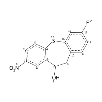 O=[N+]([O-])c1ccc2c(c1)C(O)Cc1ccc(F)cc1S2